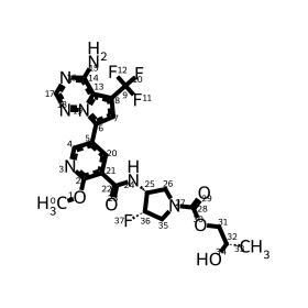 COc1ncc(-c2cc(C(F)(F)F)c3c(N)ncnn23)cc1C(=O)N[C@@H]1CN(C(=O)OC[C@H](C)O)C[C@@H]1F